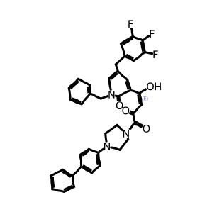 O=C(/C=C(/O)c1cc(Cc2cc(F)c(F)c(F)c2)cn(Cc2ccccc2)c1=O)C(=O)N1CCN(c2ccc(-c3ccccc3)cc2)CC1